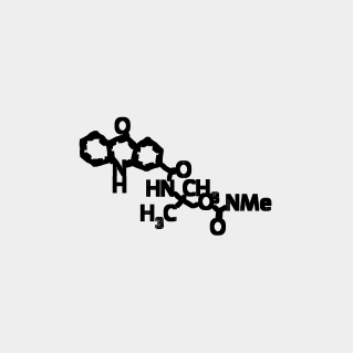 CNC(=O)OCC(C)(C)NC(=O)c1ccc2c(=O)c3ccccc3[nH]c2c1